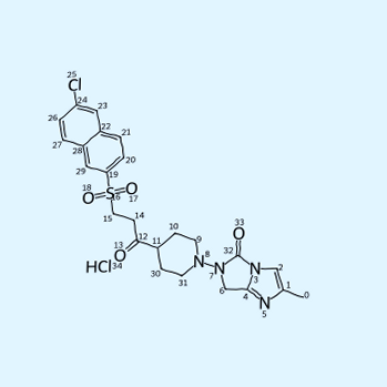 Cc1cn2c(n1)CN(N1CCC(C(=O)CCS(=O)(=O)c3ccc4cc(Cl)ccc4c3)CC1)C2=O.Cl